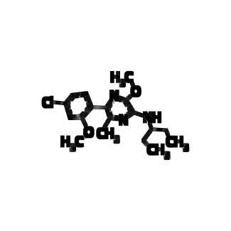 CCC(CC)Nc1nc(C)c(-c2ccc(Cl)cc2OC)nc1OC